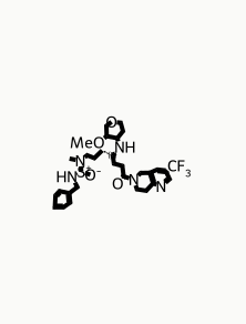 COC1COCCC1N[C@@H](CCCN(C)[S+]([O-])NCc1ccccc1)CCC(=O)N1CCc2ncc(C(F)(F)F)cc2C1